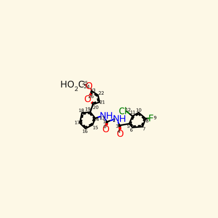 O=C(NC(=O)c1ccc(F)cc1Cl)Nc1ccccc1-c1ccc(OC(=O)O)o1